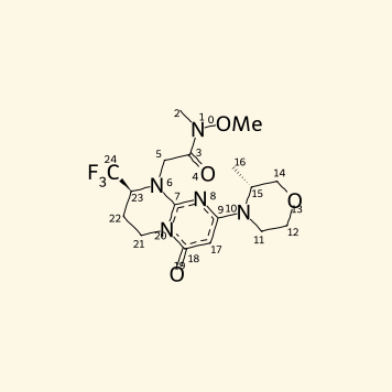 CON(C)C(=O)CN1c2nc(N3CCOC[C@H]3C)cc(=O)n2CC[C@H]1C(F)(F)F